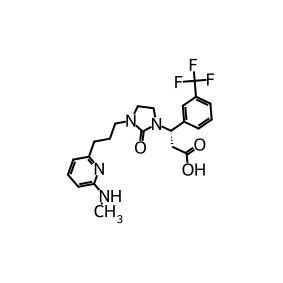 CNc1cccc(CCCN2CCN([C@@H](CC(=O)O)c3cccc(C(F)(F)F)c3)C2=O)n1